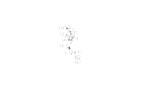 C/C(=C\c1csc(CO)n1)C(N)C[C@@H]1O[C@]1(C)CCC[C@H](C)[C@H](O)[C@@H](C)C(=O)C(C)(C)[C@@H](O)CC(=O)O